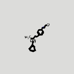 Cc1oc(-c2ccccc2)nc1C=Cc1ccc(/C=C/C=O)cc1